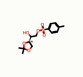 Cc1ccc(S(=O)(=O)OCC(O)[C@H]2COC(C)(C)O2)cc1